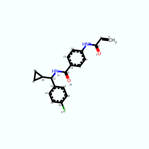 C=CC(=O)Nc1ccc(C(=O)NC(c2ccc(F)cc2)C2CC2)cc1